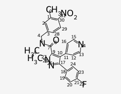 Cc1cc(CN(C)C(=O)c2c(-c3ccncc3)c(-c3ccc(F)cc3)nn2C)ccc1[N+](=O)[O-]